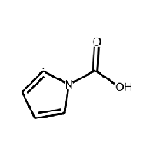 O=C(O)n1[c]ccc1